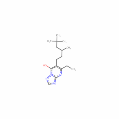 CCc1nc2ncnn2c(O)c1CCC(C)CC(C)(C)C